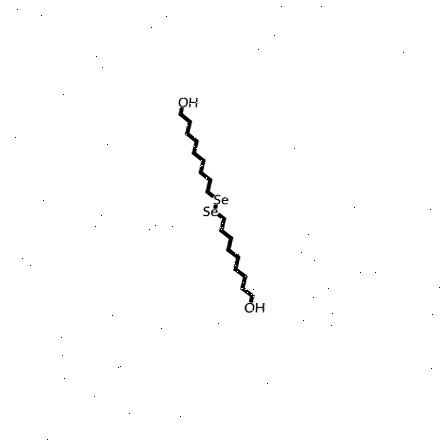 OCCCCCCCCC[Se][Se]CCCCCCCCCO